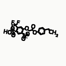 C=Cc1ccc(OC(=O)COc2cc(C(F)(F)F)c(S(=O)(=O)O)cc2[N+](=O)[O-])cc1